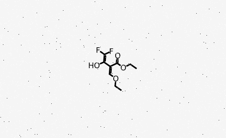 CCO/C=C(\C(=O)OCC)C(O)=C(F)F